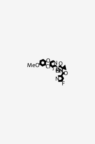 COc1ccc(Oc2ccc(N(C)C(=O)C3(NC(=O)c4cncc(F)c4)CC3)nc2)c(C(F)(F)F)c1